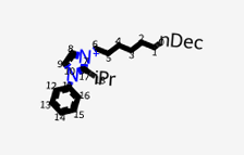 CCCCCCCCCCCCCCCC[n+]1ccn(-c2ccccc2)c1C(C)C